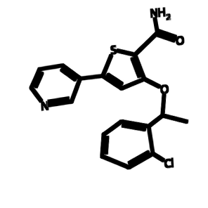 CC(Oc1cc(-c2cccnc2)sc1C(N)=O)c1ccccc1Cl